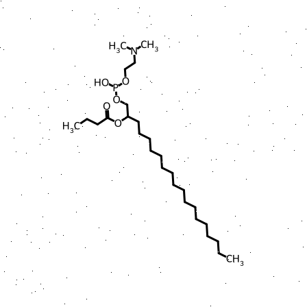 CCCCCCCCCCCCCCCCCC(COP(O)OCCN(C)C)OC(=O)CCC